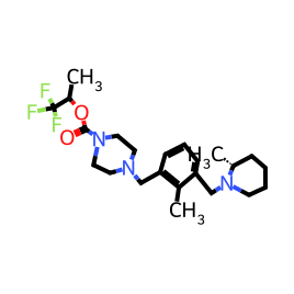 Cc1c(CN2CCN(C(=O)OC(C)C(F)(F)F)CC2)cccc1CN1CCCC[C@H]1C